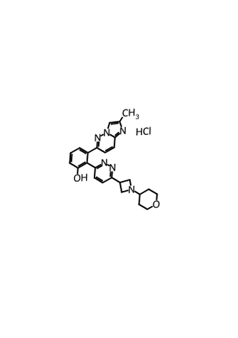 Cc1cn2nc(-c3cccc(O)c3-c3ccc(C4CN(C5CCOCC5)C4)nn3)ccc2n1.Cl